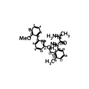 COc1ncccc1-c1cccc(OCc2c(C)cccc2N(N)C(=O)N(C)N)n1